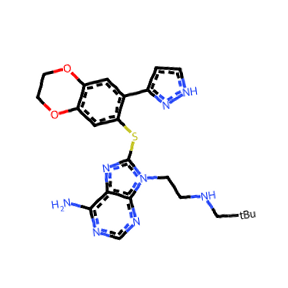 CC(C)(C)CNCCn1c(Sc2cc3c(cc2-c2cc[nH]n2)OCCO3)nc2c(N)ncnc21